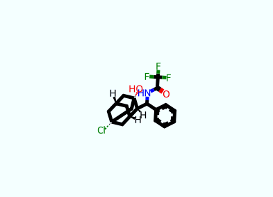 O=C(NC(c1ccccc1)[C@H]1[C@H]2C[C@@H]3C[C@](Cl)(C2)C[C@@]1(O)C3)C(F)(F)F